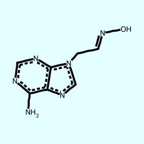 Nc1ncnc2c1ncn2CC=NO